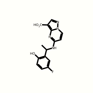 CC(Nc1ccn2ncc(C(=O)O)c2n1)c1cc(F)ccc1O